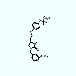 COc1cccc(CN2CC(CCOc3ccc(OC(C)(C)C(=O)O)cc3)N(C)C2=O)c1